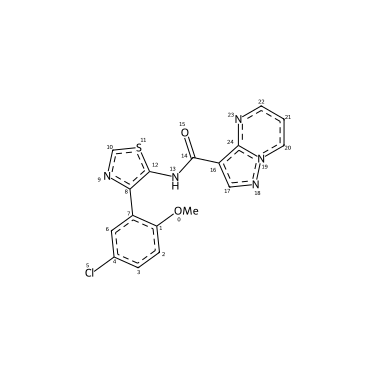 COc1ccc(Cl)cc1-c1ncsc1NC(=O)c1cnn2cccnc12